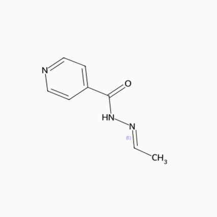 C/C=N/NC(=O)c1ccncc1